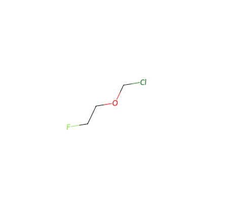 FCCOCCl